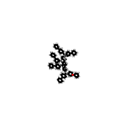 c1ccc(-c2ccc(N(c3ccc(-c4ccccc4)cc3)c3cc4c(s3)c3sc5c6sc(N(c7ccc(-c8ccccc8)cc7)c7ccc(-c8ccccc8)cc7)cc6n(-c6cccc(-c7ccccc7)c6)c5c3n4-c3ccc(-c4ccccc4)cc3)cc2)cc1